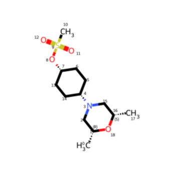 C[C@@H]1CN([C@H]2CC[C@@H](OS(C)(=O)=O)CC2)C[C@H](C)O1